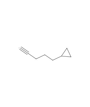 [C]#CCCCC1CC1